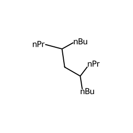 CCCCC(CCC)CC(CCC)CCCC